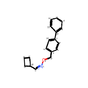 [C](=N/OCc1ccc(-c2ccccc2)cc1)/C1CCC1